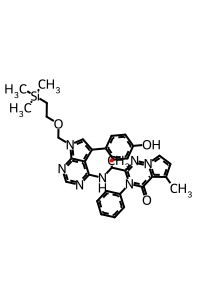 Cc1ccn2nc([C@H](C)Nc3ncnc4c3c(-c3ccc(O)cc3)cn4COCC[Si](C)(C)C)n(-c3ccccc3)c(=O)c12